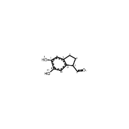 O=CC1CCc2cc(O)c(O)cc21